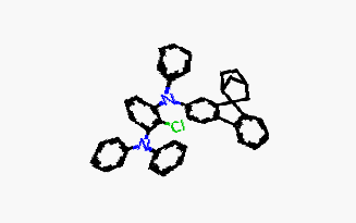 Clc1c(N(c2ccccc2)c2ccccc2)cccc1N(c1ccccc1)c1ccc2c(c1)C1(CC3CCC1C3)c1ccccc1-2